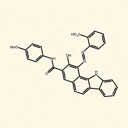 COc1ccc(NC(=O)c2cc3ccc4c5ccccc5[nH]c4c3c(N=Nc3ccccc3S(=O)(=O)O)c2O)cc1